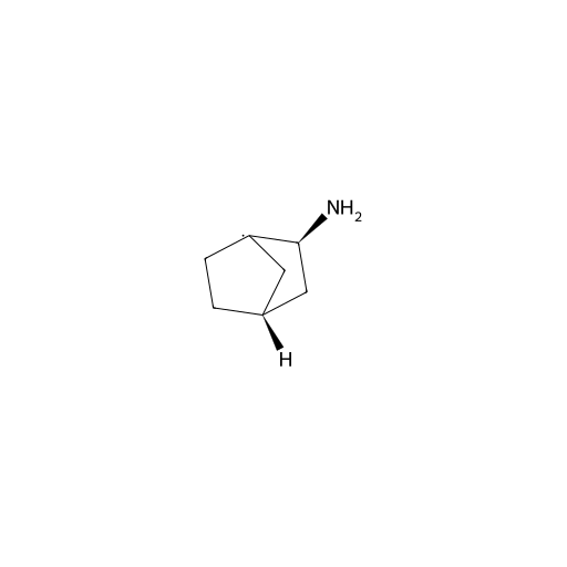 N[C@H]1C[C@@H]2CC[C]1C2